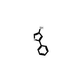 Sc1csc(-c2ccccc2)c1